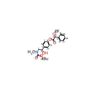 CN(CC(O)c1ccc(OC(=O)C(OC(F)(F)F)c2ccccc2)cc1)C(=O)OC(C)(C)C